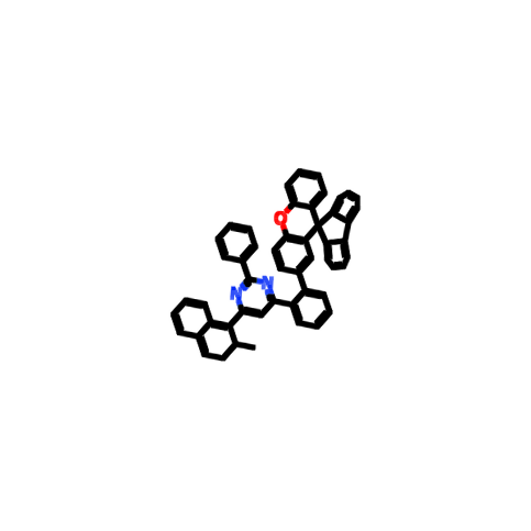 CC1CC=c2ccccc2=C1c1cc(-c2ccccc2-c2ccc3c(c2)C2(c4ccccc4O3)c3ccccc3-c3ccccc32)nc(-c2ccccc2)n1